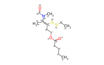 CCCCC(=O)OCC/C(SSCC)=C(\C)N(C)C=O